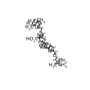 CC1(C)OB(CCCC2CN(S(=O)(=O)Nc3ccn(COCC[Si](C)(C)C)n3)CC2(N)C(=O)O)OC1(C)C